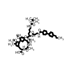 CCCc1ccc(-c2ccc(C(=O)NCCC(=O)NC(CCCCNC(=O)OC(C)(C)C)C(=O)N(C)[C@@H]3C(=O)N[C@@H](C)C(=O)N[C@H](C(=O)O)Cc4cc(C)c(OC)c(c4)-c4cc3ccc4OC)cc2)cc1